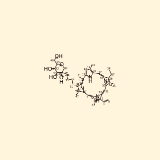 C=Cc1c(C)c2cc3nc(c(C)c4cc(C)c(cc5nc(cc1[nH]2)C(C)=C5CC)[nH]4)[C@@H](CCCSC1(O)COC(CO)C(O)C1O)[C@@H]3C